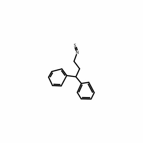 S=NCCC(c1ccccc1)c1ccccc1